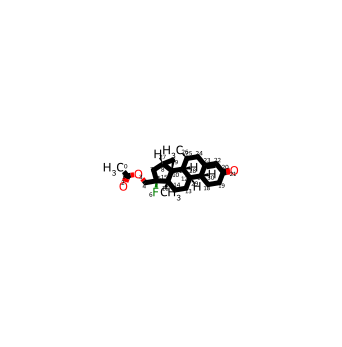 CC(=O)OC[C@]1(F)C[C@H]2C[C@]23[C@H]2[C@H](CC[C@]13C)[C@H]1CCC(=O)C=C1C[C@H]2C